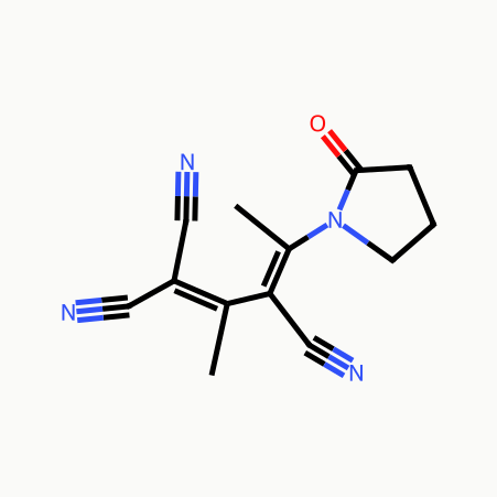 CC(=C(C#N)C#N)/C(C#N)=C(\C)N1CCCC1=O